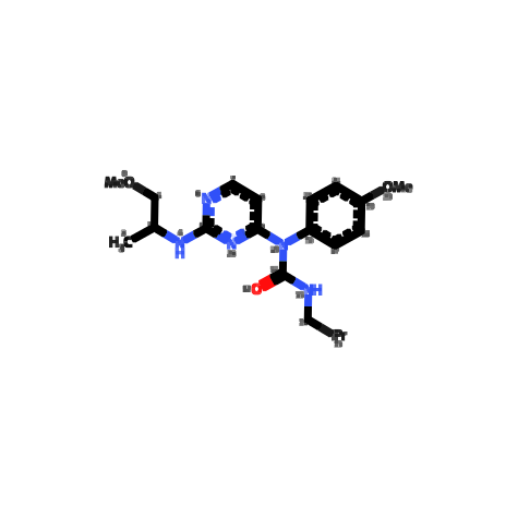 COCC(C)Nc1nccc(N(C(=O)NCC(C)C)c2ccc(OC)cc2)n1